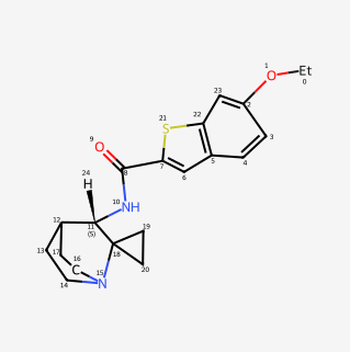 CCOc1ccc2cc(C(=O)N[C@H]3C4CCN(CC4)C34CC4)sc2c1